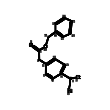 CCP(CC)c1ccc(CC(=O)OCc2ccccc2)cc1